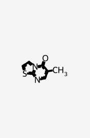 Cc1cnc2sccn2c1=O